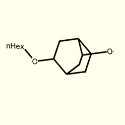 [CH2]CCCCCOC1CC2CCC1CC2[O]